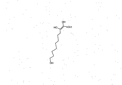 CCCCCCCC/C(O)=C(/O)CCCCCCCCO